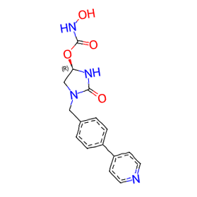 O=C(NO)O[C@@H]1CN(Cc2ccc(-c3ccncc3)cc2)C(=O)N1